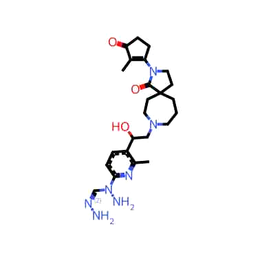 CC1=C(N2CCC3(CCCN(CC(O)c4ccc(N(N)/C=N\N)nc4C)CC3)C2=O)CCC1=O